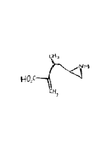 C=C(C(=O)O)C(C)C1CN1